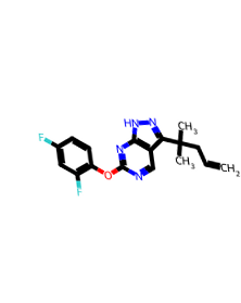 C=CCC(C)(C)c1n[nH]c2nc(Oc3ccc(F)cc3F)ncc12